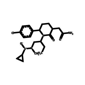 CCC(CN(C)[S+]([O-])C1CC1)N1C(=O)C(CC(N)=O)CCC1c1ccc(Cl)cc1